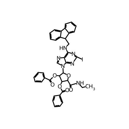 CCNC(=O)C1OC(n2cnc3c(NCC4c5ccccc5-c5ccccc54)nc(I)nc32)C(OC(=O)c2ccccc2)C1OC(=O)c1ccccc1